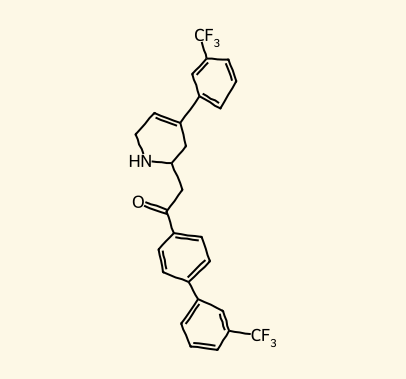 O=C(CC1CC(c2cccc(C(F)(F)F)c2)=CCN1)c1ccc(-c2cccc(C(F)(F)F)c2)cc1